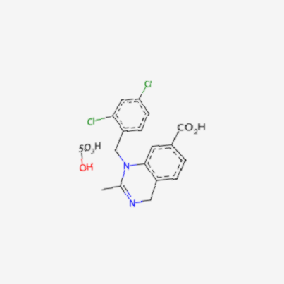 CC1=NCc2ccc(C(=O)O)cc2N1Cc1ccc(Cl)cc1Cl.O=S(=O)(O)O